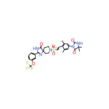 Cc1cc(N2C(=O)NC(C)(C)C2=O)cc(C)c1/C=C/S(=O)(=O)N1CCC2(CC1)N=C(c1cccc(OC(F)(F)F)c1)NC2=O